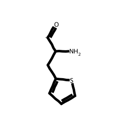 NC([C]=O)Cc1cccs1